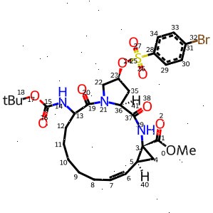 COC(=O)[C@@]12C[C@H]1/C=C\CCCCCC(NC(=O)OC(C)(C)C)C(=O)N1C[C@@H](OS(=O)(=O)c3ccc(Br)cc3)C[C@H]1C(=O)N2